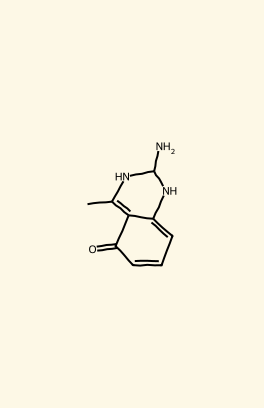 CC1=C2C(=O)C=CC=C2NC(N)N1